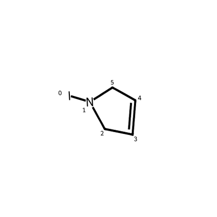 IN1CC=CC1